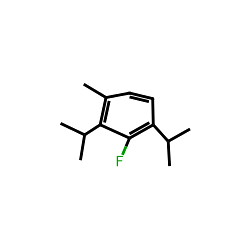 Cc1ccc(C(C)C)c(F)c1C(C)C